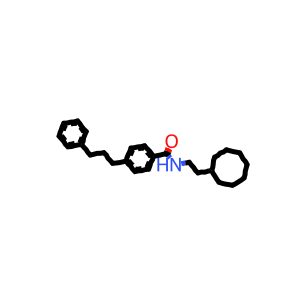 O=C(NCCC1CCCCCCC1)c1ccc(CCCc2ccccc2)cc1